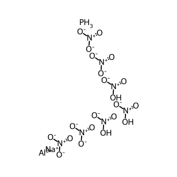 O=[N+]([O-])O.O=[N+]([O-])O.O=[N+]([O-])O.O=[N+]([O-])[O-].O=[N+]([O-])[O-].O=[N+]([O-])[O-].O=[N+]([O-])[O-].P.[Al+3].[Na+]